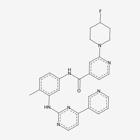 Cc1ccc(NC(=O)c2ccnc(N3CCC(F)CC3)c2)cc1Nc1nccc(-c2cccnc2)n1